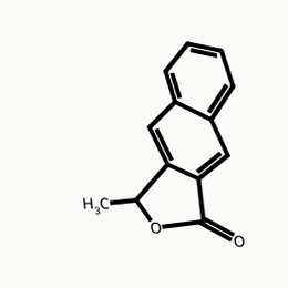 CC1OC(=O)c2cc3ccccc3cc21